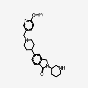 CC(C)Oc1ccc(CN2CCC(c3ccc4c(c3)CN(C3CCCNC3)C4=O)CC2)cn1